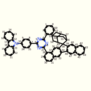 c1ccc(-c2nc(-c3ccc(-n4c5ccccc5c5ccccc54)cc3)nc(-c3cccc4cc5c(cc34)C3(c4cc6ccccc6cc4-5)C4CC5CC(C4)CC3C5)n2)cc1